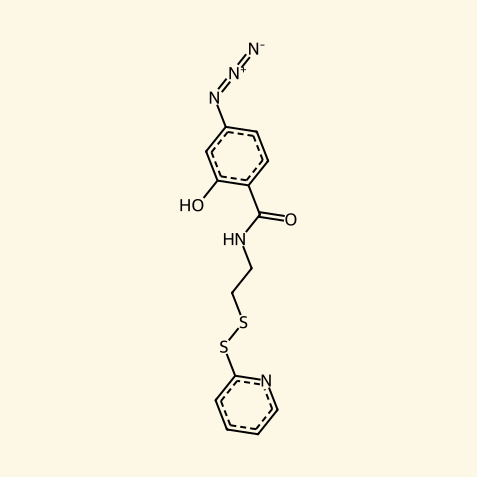 [N-]=[N+]=Nc1ccc(C(=O)NCCSSc2ccccn2)c(O)c1